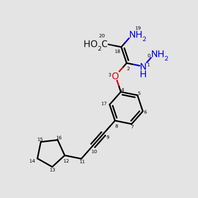 NN/C(Oc1cccc(C#CCC2CCCC2)c1)=C(\N)C(=O)O